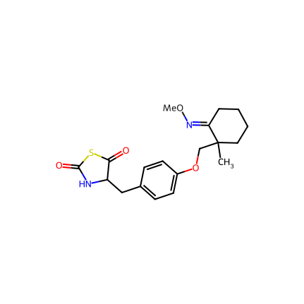 CON=C1CCCCC1(C)COc1ccc(CC2NC(=O)SC2=O)cc1